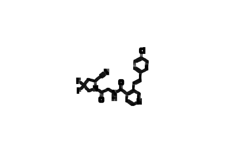 N#CC1CC(F)(F)CN1C(=O)CNC(=O)c1ccncc1C=Cc1ccc(Cl)cc1